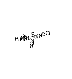 CN1CCN(c2cc(N3CCN(c4ccc(Cl)cc4)CC3)c(F)cc2C=NNC(N)=S)CC1